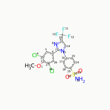 COc1c(Cl)cc(-c2nc(C(F)(F)F)cn2-c2ccc(S(N)(=O)=O)cc2)cc1Cl